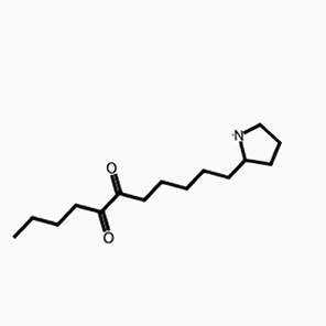 CCCCC(=O)C(=O)CCCCCC1CCC[N]1